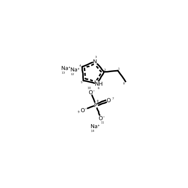 CCc1ncc[nH]1.O=P([O-])([O-])[O-].[Na+].[Na+].[Na+]